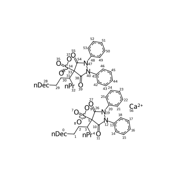 CCCCCCCCCCCCC(CCC)C1(S(=O)(=O)[O-])C(=O)N(c2ccccc2)N(c2ccccc2)C1=O.CCCCCCCCCCCCC(CCC)C1(S(=O)(=O)[O-])C(=O)N(c2ccccc2)N(c2ccccc2)C1=O.[Ca+2]